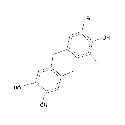 CCCc1cc(Cc2cc(C)c(O)c(CCC)c2)c(C)cc1O